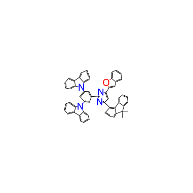 CC1(C)c2ccccc2-c2c(-c3cc(-c4cc5ccccc5o4)nc(-c4cc(-n5c6ccccc6c6ccccc65)cc(-n5c6ccccc6c6ccccc65)c4)n3)cccc21